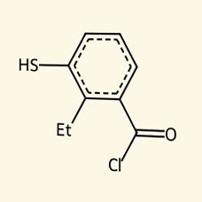 CCc1c(S)cccc1C(=O)Cl